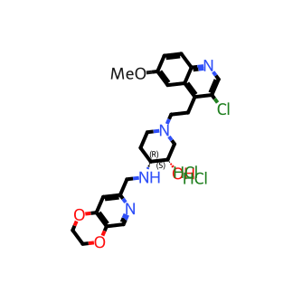 COc1ccc2ncc(Cl)c(CCN3CC[C@@H](NCc4cc5c(cn4)OCCO5)[C@@H](O)C3)c2c1.Cl.Cl